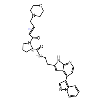 O=C(NCCc1cc2c(-c3cnn4ncccc34)ccnc2[nH]1)[C@@H]1CCCN1C(=O)/C=C/CN1CCOCC1